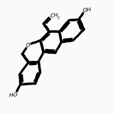 C=Cc1c2c(cc3ccc(O)cc13)-c1ccc(O)cc1CO2